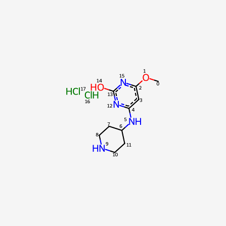 COc1cc(NC2CCNCC2)nc(O)n1.Cl.Cl